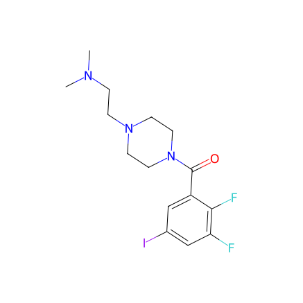 CN(C)CCN1CCN(C(=O)c2cc(I)cc(F)c2F)CC1